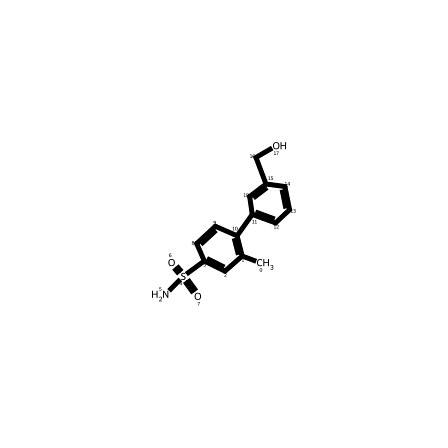 Cc1cc(S(N)(=O)=O)ccc1-c1cccc(CO)c1